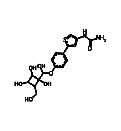 NC(=O)Nc1csc(-c2ccc(OC(O)C3(O)C(O)C(O)C3CO)cc2)c1